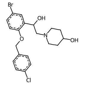 OC1CCN(CC(O)c2cc(Br)ccc2OCc2ccc(Cl)cc2)CC1